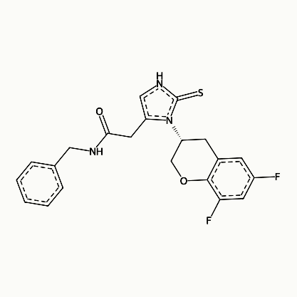 O=C(Cc1c[nH]c(=S)n1[C@H]1COc2c(F)cc(F)cc2C1)NCc1ccccc1